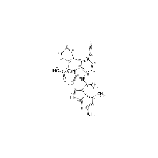 Cc1cc(C)c2c(C(C)n3c(=O)n([C@H](C(=O)O)C4CCCCC4)c4cc(C#N)ccc43)c[nH]c2c1